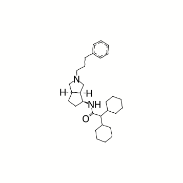 O=C(N[C@H]1CC[C@H]2CN(CCCc3ccccc3)C[C@H]21)C(C1CCCCC1)C1CCCCC1